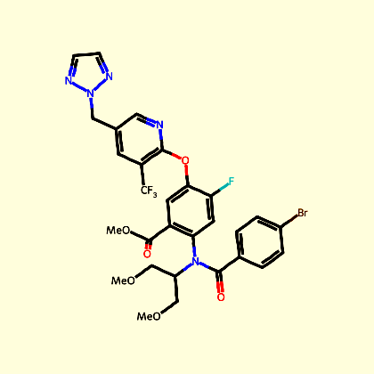 COCC(COC)N(C(=O)c1ccc(Br)cc1)c1cc(F)c(Oc2ncc(Cn3nccn3)cc2C(F)(F)F)cc1C(=O)OC